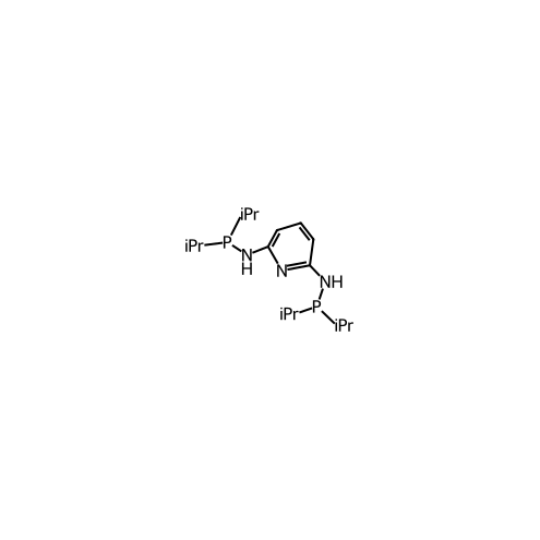 CC(C)P(Nc1cccc(NP(C(C)C)C(C)C)n1)C(C)C